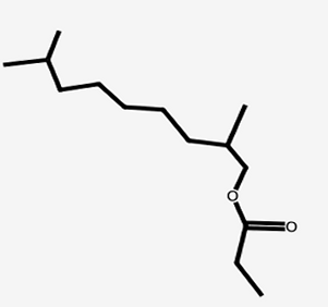 CCC(=O)OCC(C)CCCCCC(C)C